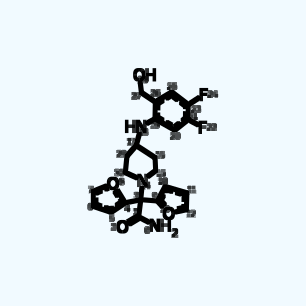 NC(=O)C(c1ccco1)(c1ccco1)N1CCC(Nc2cc(F)c(F)cc2CO)CC1